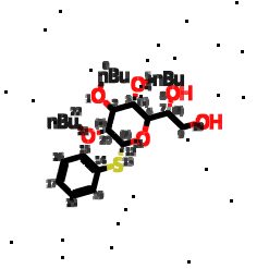 CCCCOC1[C@H](OCCCC)C([C@H](O)CO)O[C@H](Sc2ccccc2)[C@@H]1OCCCC